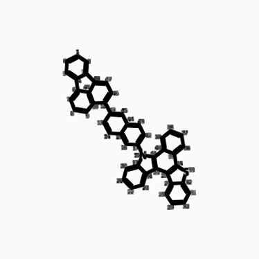 c1ccc2c(c1)-c1cccc3c(-c4ccc5cc(-n6c7ccccc7c7c8c9ccccc9sc8c8ccccc8c76)ccc5c4)ccc-2c13